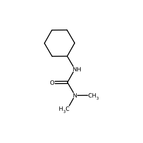 CN(C)C(=O)NC1CCCCC1